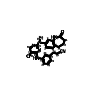 CCN(c1ccc2c(c1)NC(=O)CCC2)c1ncc(Cl)c(Nc2cccc(CCC#N)c2)n1